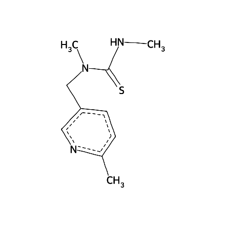 CNC(=S)N(C)Cc1ccc(C)nc1